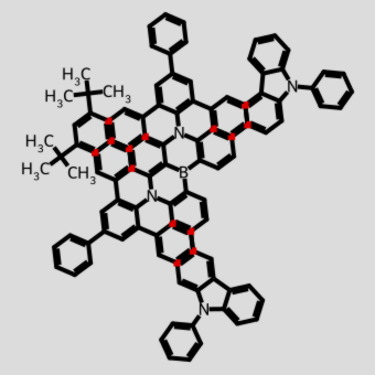 CC(C)(C)c1cc(-c2cc3c4c(c2)N(c2c(-c5ccccc5)cc(-c5ccccc5)cc2-c2ccccc2)c2cc(-c5ccc6c(c5)c5ccccc5n6-c5ccccc5)ccc2B4c2ccc(-c4ccc5c(c4)c4ccccc4n5-c4ccccc4)cc2N3c2c(-c3ccccc3)cc(-c3ccccc3)cc2-c2ccccc2)cc(C(C)(C)C)c1